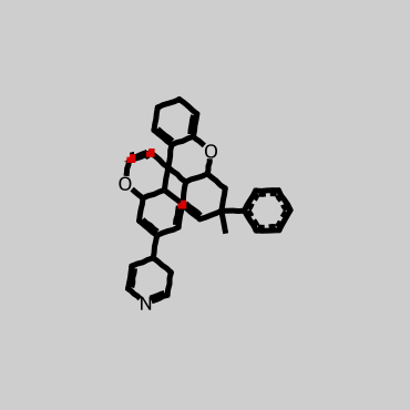 CC1(c2ccccc2)C=CC2C(C1)OC1=CCCC=C1C21C2C=CC=CC2OC2C=C(C3C=CN=CC3)C=CC21